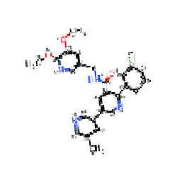 COc1cc(CNC(=O)c2cc(-c3cncc(C)c3)cnc2-c2cccc(Cl)c2)cnc1OC